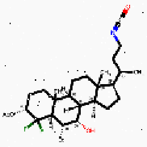 CC[C@H]1[C@@H](O)[C@@H]2[C@H](CC[C@]3(C)[C@@H]([C@H](C)CCN=C=O)CC[C@@H]23)[C@@]2(C)CC[C@@H](OC(C)=O)C(F)(F)[C@@H]12